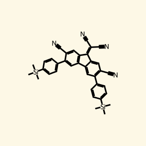 C[Si](C)(C)c1ccc(-c2cc3c(cc2C#N)C(=C(C#N)C#N)c2cc(C#N)c(-c4ccc([Si](C)(C)C)cc4)cc2-3)cc1